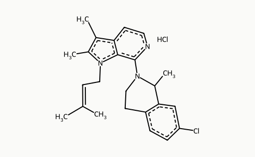 CC(C)=CCn1c(C)c(C)c2ccnc(N3CCc4ccc(Cl)cc4C3C)c21.Cl